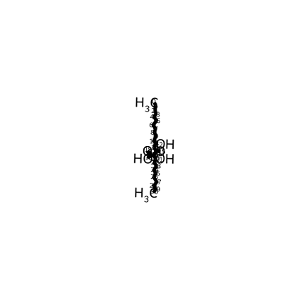 CCCCCCCCCCCC(O)CC(=O)C(C(=O)O)C(O)CCCCCCCCC